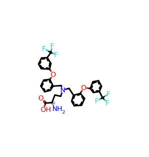 N[C@@H](CCN(Cc1ccccc1Oc1cccc(C(F)(F)F)c1)Cc1ccccc1Oc1cccc(C(F)(F)F)c1)C(=O)O